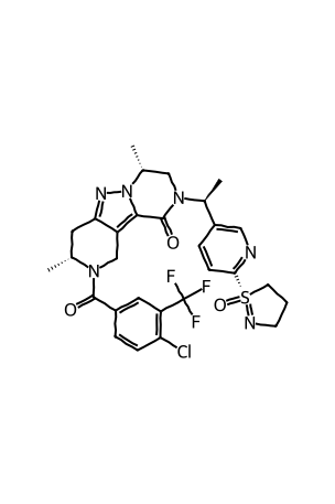 C[C@@H]1Cc2nn3c(c2CN1C(=O)c1ccc(Cl)c(C(F)(F)F)c1)C(=O)N([C@@H](C)c1ccc([S@@]2(=O)=NCCC2)nc1)C[C@H]3C